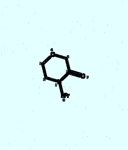 [CH2]CCN1CCOCC1=O